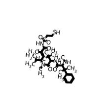 CNC(C(=O)NC(C(=O)N(C)C(/C=C(\C)C(=O)NS(=O)(=O)CCS)C(C)C)C(C)(C)C)C(C)(C)c1ccccc1